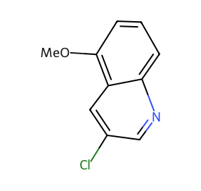 COc1cccc2ncc(Cl)cc12